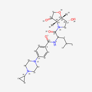 CC(C)CC(NC(=O)c1ccc(N2CCN(C3CC3)CC2)cc1)C(=O)N1C[C@@H](O)[C@H]2OCC(=O)[C@H]21